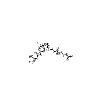 CC(=O)C(=O)SCCNC(=O)CCNC(=O)[C@@H]1OC(CC(O)CC(C)O)OCC1(C)C